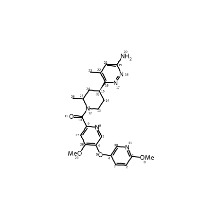 COc1ccc(Oc2cnc(C(=O)N3CC[C@H](c4nnc(N)cc4C)CC3C)cc2OC)cn1